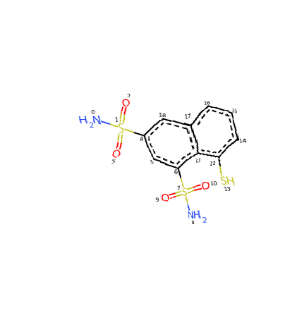 NS(=O)(=O)c1cc(S(N)(=O)=O)c2c(S)cccc2c1